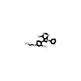 Cc1cc(OCCO)ccc1-c1cn(-c2ccccc2)c2ncnc(Cl)c12